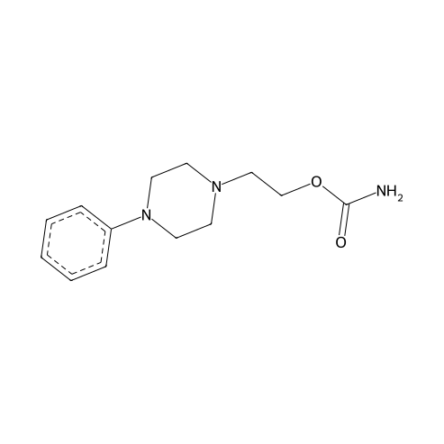 NC(=O)OCCN1CCN(c2ccccc2)CC1